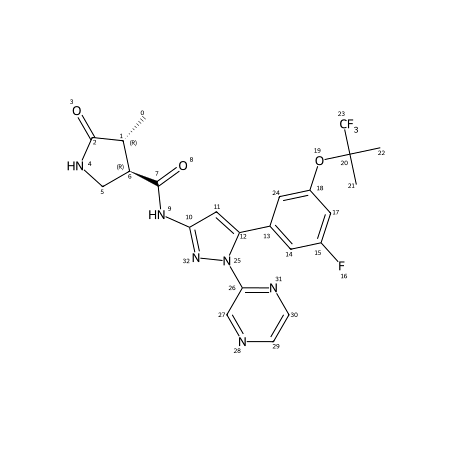 C[C@H]1C(=O)NC[C@@H]1C(=O)Nc1cc(-c2cc(F)cc(OC(C)(C)C(F)(F)F)c2)n(-c2cnccn2)n1